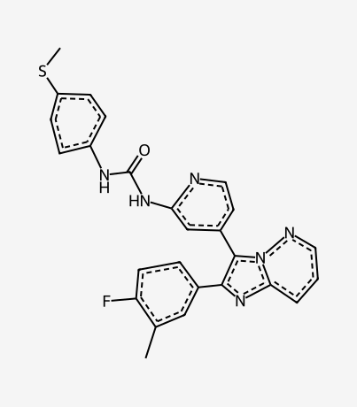 CSc1ccc(NC(=O)Nc2cc(-c3c(-c4ccc(F)c(C)c4)nc4cccnn34)ccn2)cc1